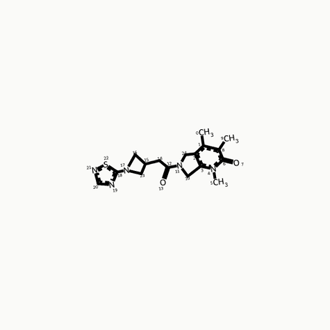 Cc1c2c(n(C)c(=O)c1C)CN(C(=O)CC1CN(c3ncns3)C1)C2